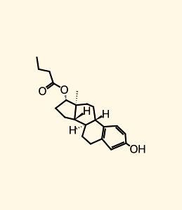 CCCC(=O)O[C@H]1CC[C@H]2[C@@H]3CCc4cc(O)ccc4[C@H]3CC[C@]12C